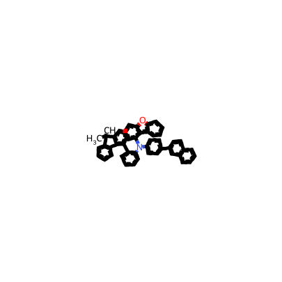 CC1(C)c2ccccc2-c2c(-c3ccccc3N(c3ccc(-c4ccc5ccccc5c4)cc3)c3cccc4oc5ccccc5c34)cccc21